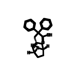 CN1[C@@H]2CC[C@H]1C[C@@H](CC(C(=O)O)(c1ccccc1)c1ccccc1)C2